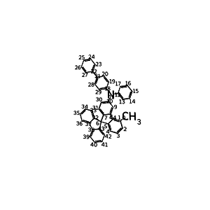 Cc1cccc(C2(c3ccc(N(c4ccccc4)c4ccc(-c5ccccc5)cc4)cc3)c3ccccc3-c3ccccc32)c1